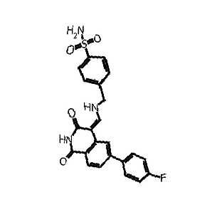 NS(=O)(=O)c1ccc(CNC=C2C(=O)NC(=O)c3ccc(-c4ccc(F)cc4)cc32)cc1